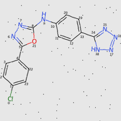 Clc1ccc(-c2nnc(Nc3ccc(-c4nnn[nH]4)cc3)o2)cc1